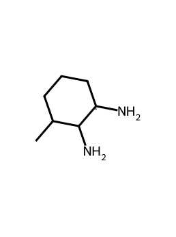 CC1CCC[C](N)C1N